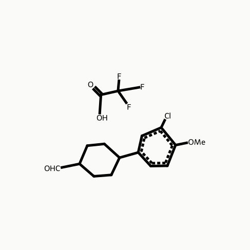 COc1ccc(C2CCC(C=O)CC2)cc1Cl.O=C(O)C(F)(F)F